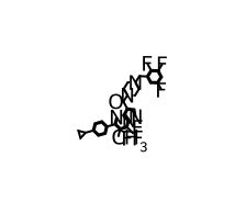 Cc1c(-c2ccc(C3CC3)cc2)nc2c(C(=O)N3CCN(Cc4cc(F)cc(F)c4F)CC3)cnn2c1C(F)(F)F